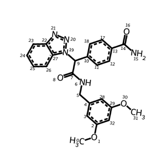 COc1cc(CNC(=O)C(c2ccc(C(N)=O)cc2)n2nnc3ccccc32)cc(OC)c1